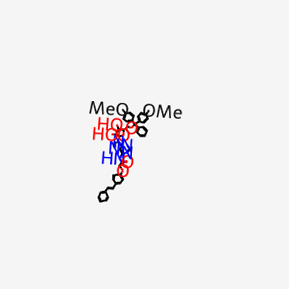 COc1ccc(C(OC[C@H]2O[C@@H](n3cnc4c(NC(=O)COc5ccc(C=Cc6ccccc6)cc5)ncnc43)C(O)C2O)(c2ccccc2)c2ccc(OC)cc2)cc1